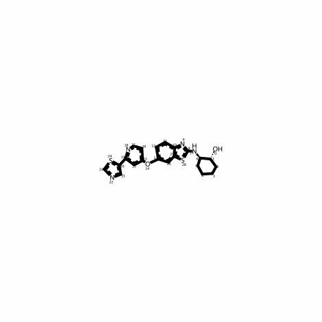 O[C@@H]1CCCC[C@H]1Nc1nc2ccc(Oc3ccnc(-c4cncs4)c3)cc2s1